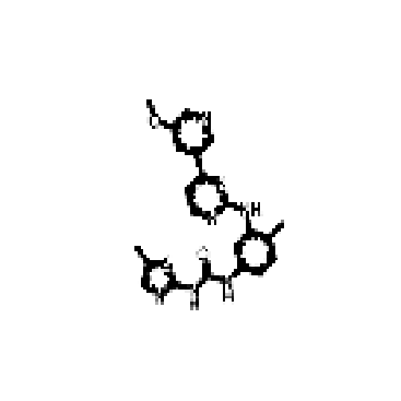 COc1cncc(-c2ccnc(Nc3cc(NC(=O)Nc4ncc(C)s4)ccc3C)n2)c1